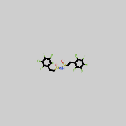 [O-][S+](/C=C\c1c(F)c(F)c(F)c(F)c1F)N[S+]([O-])/C=C/c1c(F)c(F)c(F)c(F)c1F